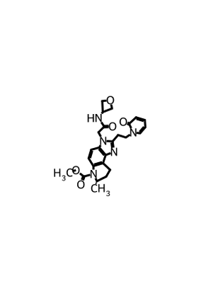 COC(=O)N1c2ccc3c(nc(CCn4ccccc4=O)n3CC(=O)NC3COC3)c2CC[C@@H]1C